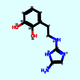 Nc1cnc(NCCc2cccc(O)c2O)[nH]1